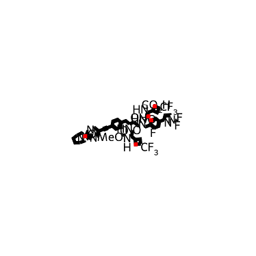 COC(=O)NC(C(=O)NC(Cc1ccc(C#Cc2cnc(N3CC4CCC(C3)N4C3COC3)nc2)cc1)C(O)CN(Cc1c(F)cc(-c2ccn(C(F)F)n2)cc1F)NC(=O)C(NC(=O)O)C12CC(C(F)(F)F)(C1)C2)C12CC(C(F)(F)F)(C1)C2